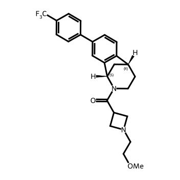 COCCN1CC(C(=O)N2CC[C@@H]3C[C@H]2c2cc(-c4ccc(C(F)(F)F)cc4)ccc23)C1